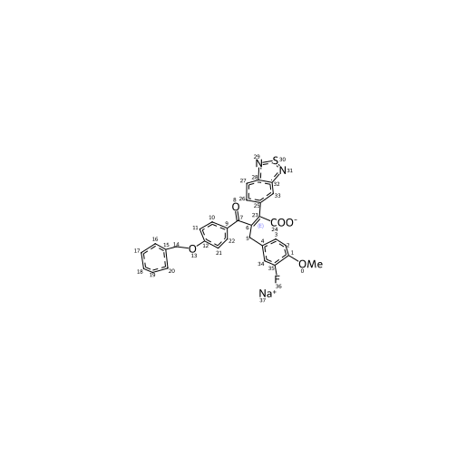 COc1ccc(C/C(C(=O)c2ccc(OCc3ccccc3)cc2)=C(\C(=O)[O-])c2ccc3nsnc3c2)cc1F.[Na+]